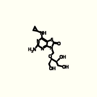 Nc1nc(NC2CC2)c2sc(=O)n(CO[C@H](CO)[C@@H](O)CO)c2n1